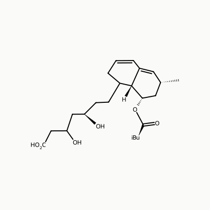 CC[C@H](C)C(=O)O[C@H]1C[C@@H](C)C=C2C=CCC(CC[C@@H](O)CC(O)CC(=O)O)[C@H]21